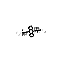 FC(F)(F)C(F)(F)C(F)(F)C(F)(F)c1c2ccccc2c(C(F)(F)C(F)(F)C(F)(F)C(F)(F)F)c2ccccc12